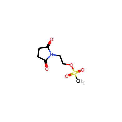 CS(=O)(=O)OCCN1C(=O)CCC1=O